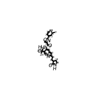 Cc1cc(-c2nc(C(=O)Nc3cc4cc(CCC5CCNC5=O)nn4cc3C(C)(C)O)co2)ccn1